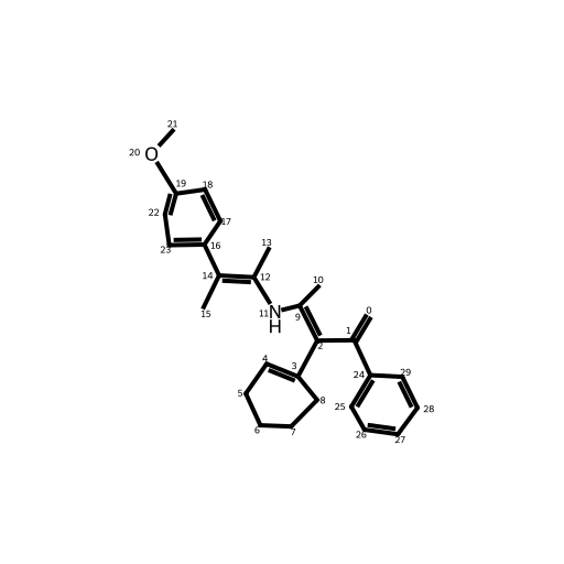 C=C(/C(C1=CCCCC1)=C(\C)N/C(C)=C(\C)c1ccc(OC)cc1)c1ccccc1